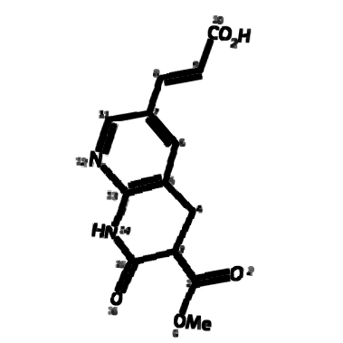 COC(=O)C1Cc2cc(C=CC(=O)O)cnc2NC1=O